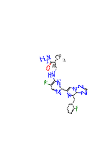 NC(=O)[C@H](CNc1nc(-c2cn3ncnc3c(Cc3ccccc3F)n2)ncc1F)C(F)(F)F